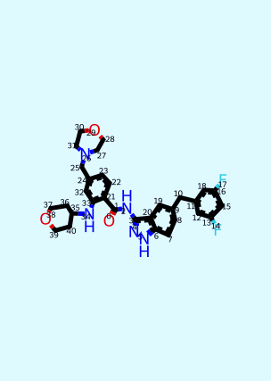 O=C(Nc1n[nH]c2ccc(Cc3cc(F)cc(F)c3)cc12)c1ccc(CN2CCOCC2)cc1NC1CCOCC1